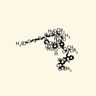 CC[C@@]1(O)C(=O)OCc2c1cc1n(c2=O)Cc2c-1nc1ccccc1c2CCN(C(=O)OCc1ccc(NC(=O)[C@H](C)NC(=O)[C@@H](NC(=O)COCC(=O)N(CCOCCOCCOCCOC)C2CCNCC2)C(C)C)c(O[C@@H]2O[C@H](C(=O)O)[C@@H](O)[C@H](O)[C@H]2O)c1)C(C)C